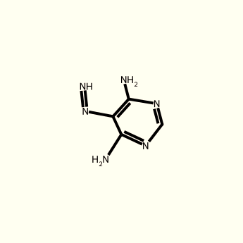 N=Nc1c(N)ncnc1N